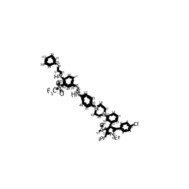 CCn1c(-c2ccc(Cl)cc2)c(-c2cccc(N3CCN(c4ccc(NSc5ccc(NCCSc6ccccc6)c(S(=O)(=O)C(F)(F)F)c5)cc4)CC3)c2)c([S+](C)[O-])c1C(C)C